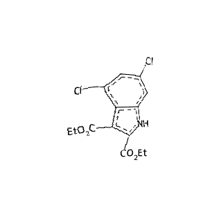 CCOC(=O)c1[nH]c2cc(Cl)cc(Cl)c2c1C(=O)OCC